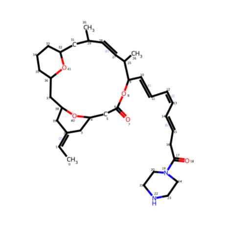 C/C=C1\CC2CC(=O)OC(/C=C/C=C\C=C\CC(=O)N3CCNCC3)C(C)/C=C/C(C)CC3CCCC(CC(C1)O2)O3